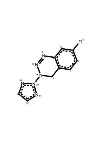 Clc1ccc2c(c1)N=NN(n1nccn1)C2